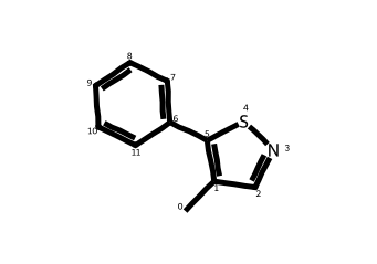 Cc1cnsc1-c1ccccc1